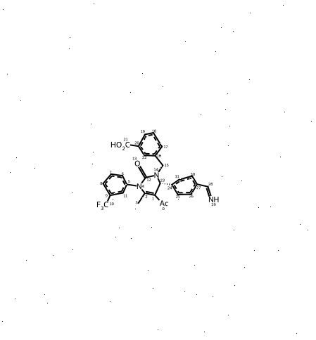 CC(=O)C1=C(C)N(c2cccc(C(F)(F)F)c2)C(=O)N(Cc2cccc(C(=O)O)c2)[C@@H]1c1ccc(C=N)cc1